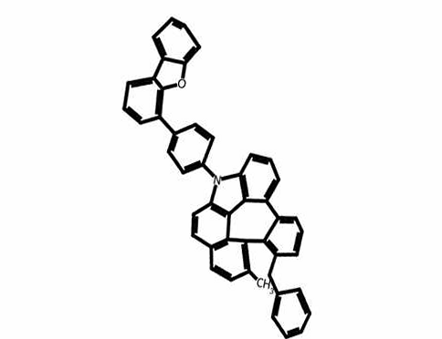 Cc1ccc2ccc3c4c2c1-c1c(Cc2ccccc2)cccc1-c1cccc(c14)n3-c1ccc(-c2cccc3c2oc2ccccc23)cc1